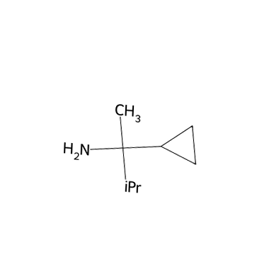 CC(C)C(C)(N)C1CC1